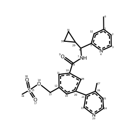 Cc1ccnc(C(NC(=O)c2cc(COS(C)(=O)=O)cc(-c3cnccc3C)c2)C2CC2)c1